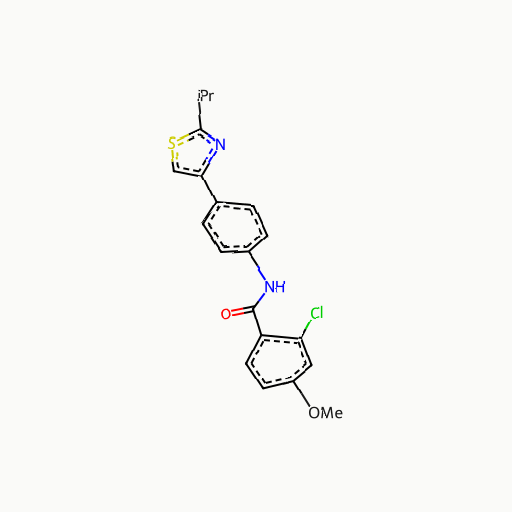 COc1ccc(C(=O)Nc2ccc(-c3csc(C(C)C)n3)cc2)c(Cl)c1